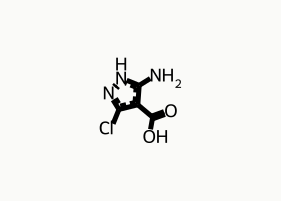 Nc1[nH]nc(Cl)c1C(=O)O